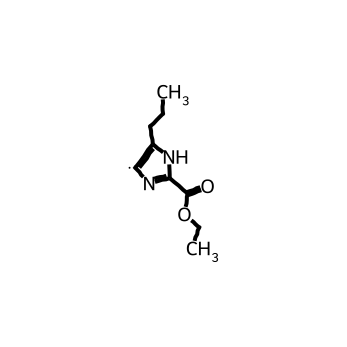 CCCc1[c]nc(C(=O)OCC)[nH]1